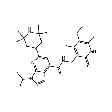 CCc1c(C)[nH]c(=O)c(CNC(=O)c2cc(C3CC(C)(C)NC(C)(C)C3)nc3c2cnn3C(C)C)c1C